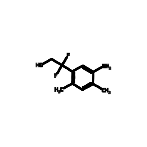 Cc1cc(C)c(C(F)(F)CO)cc1N